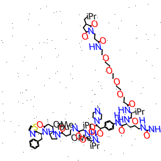 CC[C@H](C)[C@@H]([C@@H](CC(=O)N1CCC[C@H]1[C@H](OC)[C@@H](C)C(=O)N[C@@H](Cc1ccccc1)c1nccs1)OC)N(C)C(=O)[C@@H](NC(=O)[C@H](C(C)C)N(C)C(=O)OC(C(=O)N1CCN(C)CC1)c1ccc(NC(=O)[C@H](CCCNC(N)=O)NC(=O)[C@@H](NC(=O)CCOCCOCCOCCOCCNC(=O)CCN2C(=O)CC(CC(C)C)C2=O)C(C)C)cc1)C(C)C